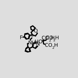 Fc1ccc([C@]2(CCNCc3ccccc3-c3ccncc3)CCOC3(CCCC3)C2)cc1.O=C(O)CC(O)(CC(=O)O)C(=O)O